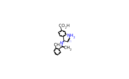 C=C(/N=C(\C=C/N)c1ccc(C(=O)O)cc1)c1ccccc1C